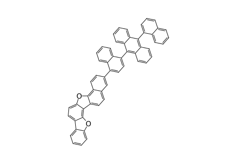 c1ccc2c(-c3c4ccccc4c(-c4ccc(-c5ccc6c(ccc7c6oc6ccc8c9ccccc9oc8c67)c5)c5ccccc45)c4ccccc34)cccc2c1